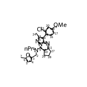 CCCN(Cc1ccc(C)o1)c1c2c(nc3c(-c4ccc(OC)cc4Cl)c(C)nn13)CCC2